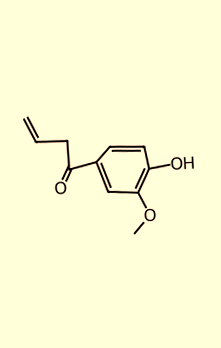 C=CCC(=O)c1ccc(O)c(OC)c1